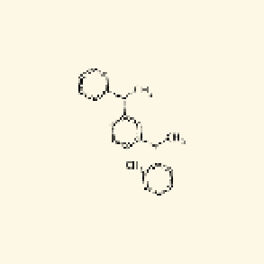 Cc1ccc(C(C)c2ccccc2)cc1C(C)c1ccccc1